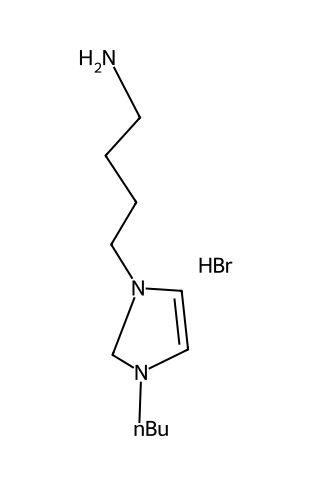 Br.CCCCN1C=CN(CCCCN)C1